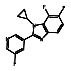 Fc1cncc(-c2nc3ccc(F)c(F)c3n2C2CC2)c1